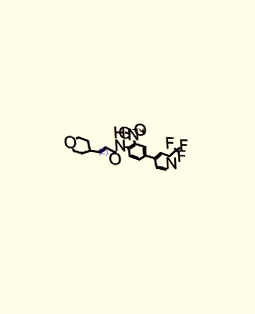 O=C(/C=C/C1CCOCC1)Nc1ccc(-c2ccnc(C(F)(F)F)c2)cc1[N+](=O)[O-]